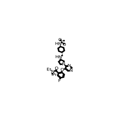 CCN(C(=O)c1cc(F)ccc1Oc1cncnc1N1CC[C@@H](NC[C@H]2CC[C@H](NS(C)(=O)=O)CC2)C1)C(C)C